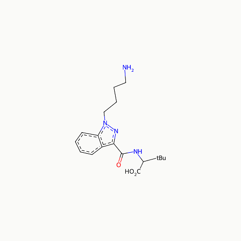 CC(C)(C)C(NC(=O)c1nn(CCCCN)c2ccccc12)C(=O)O